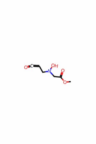 COC(=O)CN(O)CC=C=O